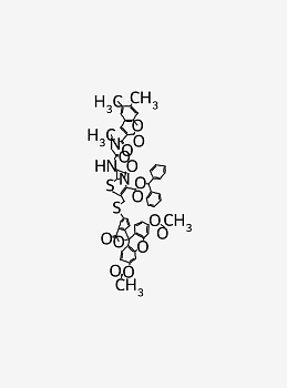 CC(=O)Oc1ccc2c(c1)Oc1cc(OC(C)=O)ccc1C21OC(=O)c2cc(SCC3=C(C(=O)OC(c4ccccc4)c4ccccc4)N4C(=O)C(NC(=O)CN(C)C(=O)c5cc6cc(C)c(C)cc6oc5=O)C4SC3)ccc21